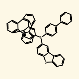 c1ccc(-c2ccc(N(c3ccc4c(c3)-c3c5cccc3-c3cccc-4c3-c3ccccc3-5)c3ccc4sc5ccccc5c4c3)cc2)cc1